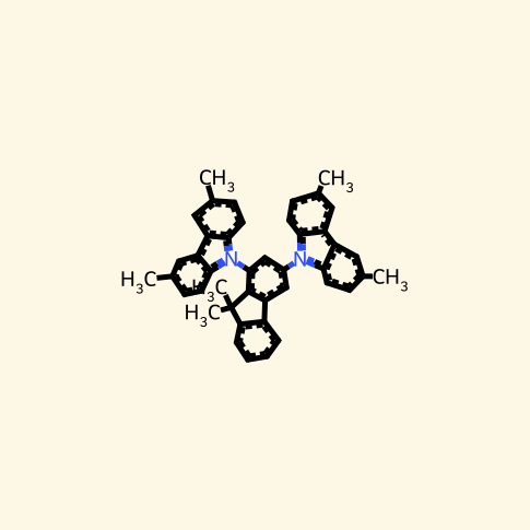 Cc1ccc2c(c1)c1cc(C)ccc1n2-c1cc2c(c(-n3c4ccc(C)cc4c4cc(C)ccc43)c1)C(C)(C)c1ccccc1-2